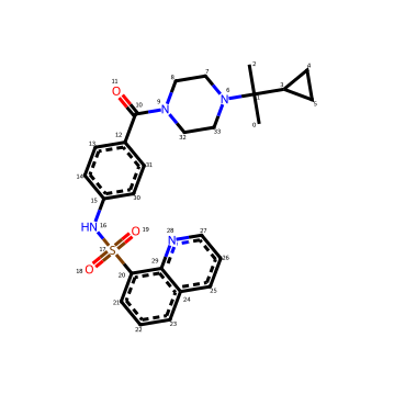 CC(C)(C1CC1)N1CCN(C(=O)c2ccc(NS(=O)(=O)c3cccc4cccnc34)cc2)CC1